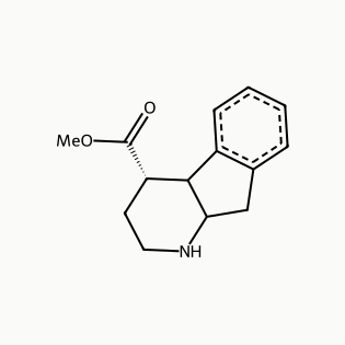 COC(=O)[C@H]1CCNC2Cc3ccccc3C21